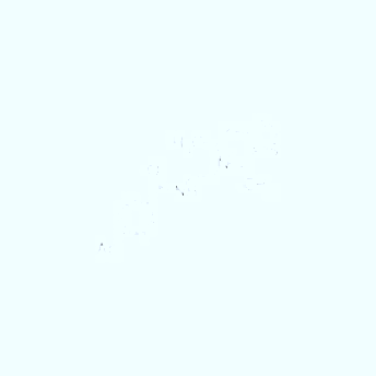 CC(=O)c1ccc(C(=O)NCCN2C(C)Cc3ccsc3C2C)cc1